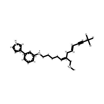 COC/C(=C/CCCCOc1cccc(-c2ccsc2)c1)C/C=C/C#CC(C)(C)C